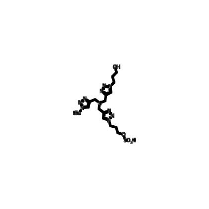 CC(C)(C)n1cc(CN(Cc2cn(CCCO)nn2)Cc2cn(CCCOS(=O)(=O)O)nn2)nn1